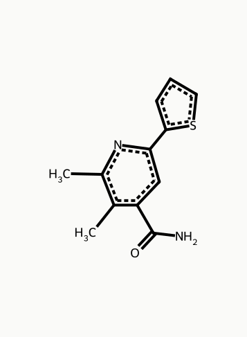 Cc1nc(-c2cccs2)cc(C(N)=O)c1C